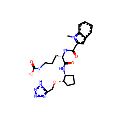 Cn1c(C(=O)N[C@@H](CCCNC(=O)O)C(=O)N[C@H]2CCC[C@@H]2OCc2nnn[nH]2)cc2ccccc21